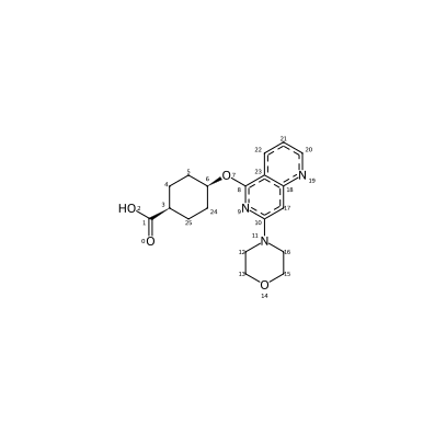 O=C(O)[C@H]1CC[C@@H](Oc2nc(N3CCOCC3)cc3ncccc23)CC1